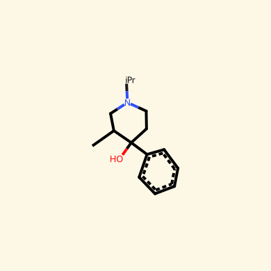 CC(C)N1CCC(O)(c2ccccc2)C(C)C1